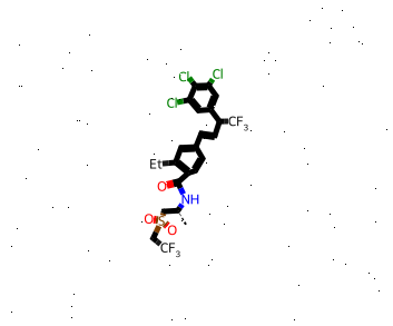 CCc1cc(/C=C/C(c2cc(Cl)c(Cl)c(Cl)c2)C(F)(F)F)ccc1C(=O)N[C@H](C)CS(=O)(=O)CC(F)(F)F